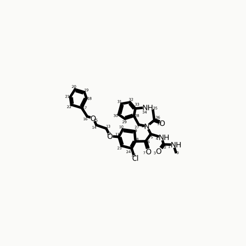 CNC(=O)NC(C(=O)c1ccc(OCCOCc2ccccc2)cc1Cl)N1Cc2ccccc2NCC1=O